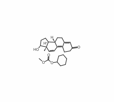 COC(=O)OC1CCCCC1.C[C@]12C=CC3=C4CCC(=O)C=C4CC[C@H]3[C@@H]1CC[C@@H]2O